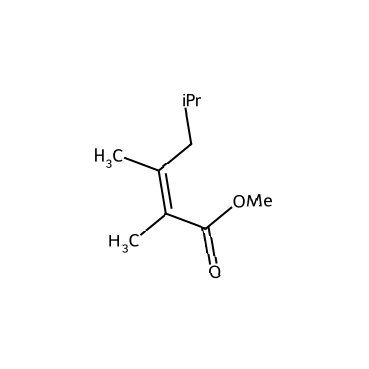 COC(=O)C(C)=C(C)CC(C)C